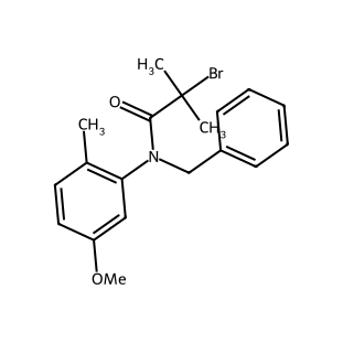 COc1ccc(C)c(N(Cc2ccccc2)C(=O)C(C)(C)Br)c1